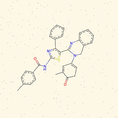 CC1=CC(N2Cc3ccccc3N=C2c2sc(NC(=O)c3ccc(C)cc3)nc2-c2ccccc2)=CCC1=O